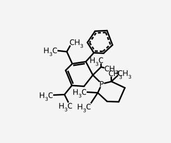 CC(C)C1=CC(C(C)C)=C(c2ccccc2)C(C(C)C)(P2C(C)(C)CCCC2(C)C)C1